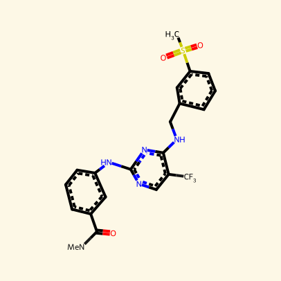 CNC(=O)c1cccc(Nc2ncc(C(F)(F)F)c(NCc3cccc(S(C)(=O)=O)c3)n2)c1